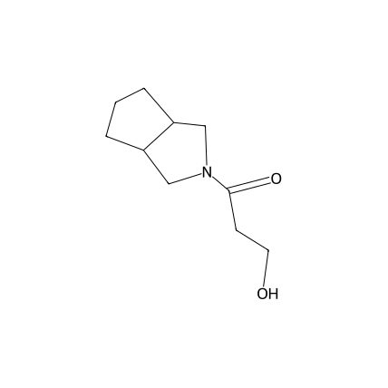 O=C(CCO)N1CC2CCCC2C1